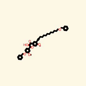 COc1cc2oc(-c3ccc(OCc4ccccc4)c(OC)c3)c(O)c(=O)c2cc1C#CCCCCCCCCCCCOCc1ccccc1